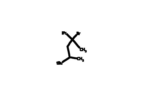 CC(CC(C)(Br)C(C)C)C(C)(C)C